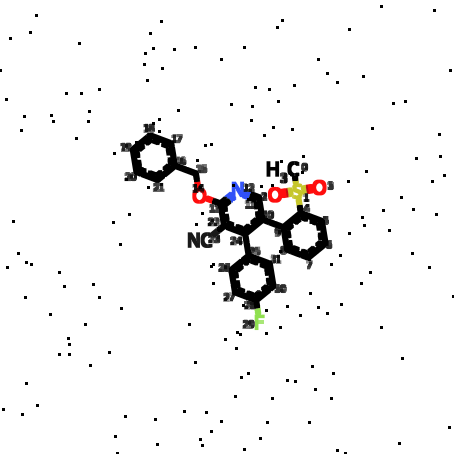 CS(=O)(=O)c1ccccc1-c1cnc(OCc2ccccc2)c(C#N)c1-c1ccc(F)cc1